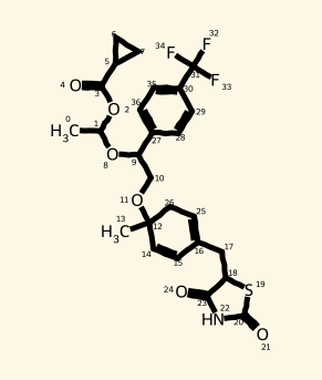 CC(OC(=O)C1CC1)OC(COC1(C)C=CC(CC2SC(=O)NC2=O)=CC1)c1ccc(C(F)(F)F)cc1